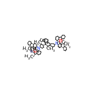 C=Cc1c(/C=C\C)oc2c(N(c3ccc4c(c3)C(C)(C)c3ccccc3-4)c3ccc4c(c3)C(C)(C)c3cccc5c3c-4c(C)c3ccc(N(c4ccc6c(c4)C(C)(C)c4ccccc4-6)c4cccc6c4oc4ccccc46)cc35)cccc12